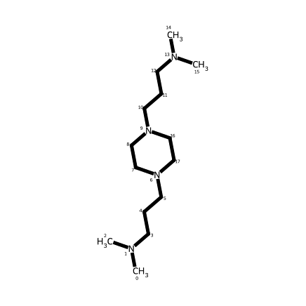 CN(C)CCCN1CCN(CCCN(C)C)CC1